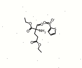 CCOC(=O)CCC(N)(C=O)C(=O)OCC.O=[N+]([O-])c1cccs1